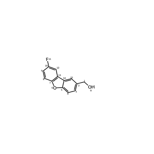 OCc1ccc2oc3ccc(F)cc3c2c1